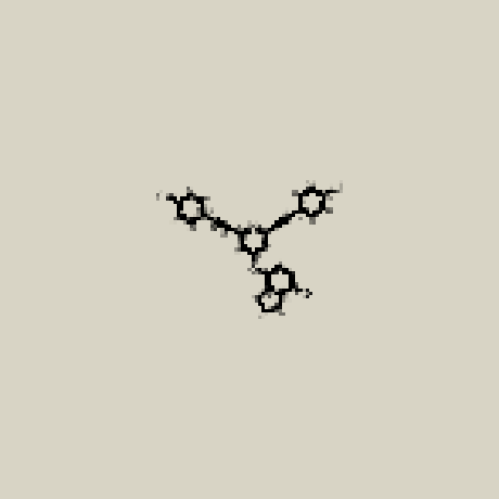 [O]c1ccc(Sc2cc(C#Cc3ccc(Cl)cc3)nc(C#Cc3ccc(Cl)cc3)c2)c2c1CCC2